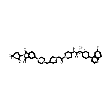 C[C@@H](C(=O)NC1CCN(C(=O)CN2CCC(CN3CCN(c4ccc5c(c4)C(=O)N(C4CCC(=O)NC4=O)C5=O)CC3)CC2)CC1)C1CCC(c2ccnc3ccc(F)cc23)CC1